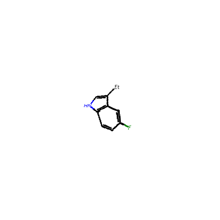 [CH2]Cc1c[nH]c2ccc(F)cc12